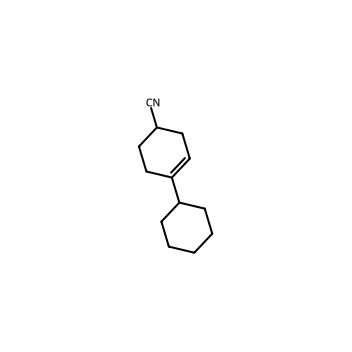 N#CC1CC=C(C2CCCCC2)CC1